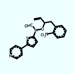 C=CC(Cc1ccccc1[N+](=O)[O-])ON(C=O)c1ccc(-c2ccncc2)s1